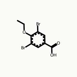 CCOc1c(Br)cc(C(=O)O)cc1Br